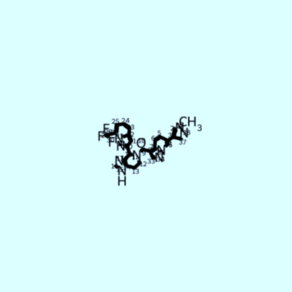 Cn1cc(-c2ccc3c(C(=O)N4CCc5[nH]cnc5C4c4cc5cccc(C(F)(F)F)n5n4)cnn3c2)cn1